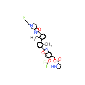 Cc1c(-c2nc3c(o2)CCN(CCCF)C3)cccc1-c1cccc(-c2nc3cc(COC(=O)[C@@H]4CCCN4)c(OC(F)F)cc3o2)c1C